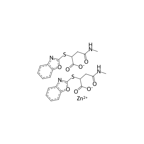 CNC(=O)CC(Sc1nc2ccccc2o1)C(=O)[O-].CNC(=O)CC(Sc1nc2ccccc2o1)C(=O)[O-].[Zn+2]